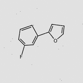 Fc1cc[c]c(-c2ccco2)c1